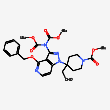 CC(C)(C)OC(=O)N1CCC(CC=O)(n2nc(N(C(=O)OC(C)(C)C)C(=O)OC(C)(C)C)c3c(OCc4ccccc4)nccc32)CC1